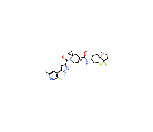 Cc1cc(-c2cc(C(=O)N3CC[C@H](C(=O)N[C@H]4CC[C@]5(CC4)OCCC5(F)F)CC34CC4)n[nH]2)c(F)cn1